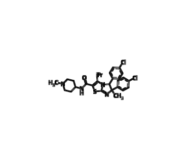 CC(C)C1=C(C(=O)NC2CCN(C)CC2)SC2=NC(C)(c3ccc(Cl)cc3)C(c3ccc(Cl)cc3)N21